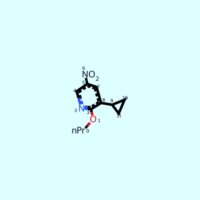 CCCOc1ncc([N+](=O)[O-])cc1C1CC1